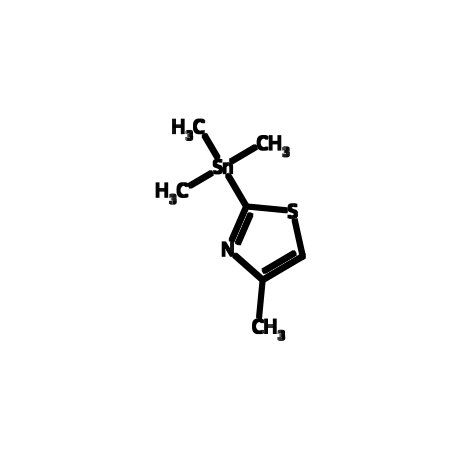 Cc1cs[c]([Sn]([CH3])([CH3])[CH3])n1